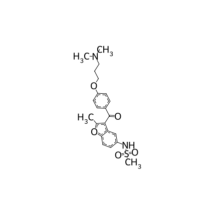 Cc1oc2ccc(NS(C)(=O)=O)cc2c1C(=O)c1ccc(OCCCN(C)C)cc1